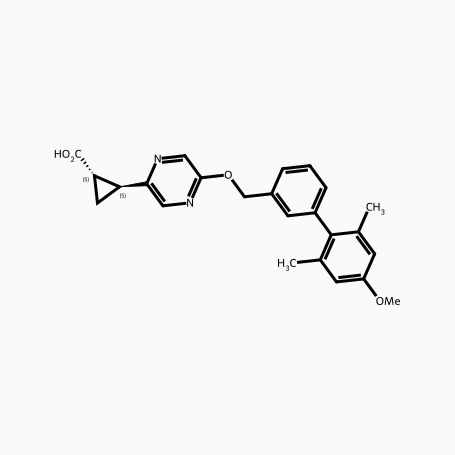 COc1cc(C)c(-c2cccc(COc3cnc([C@H]4C[C@@H]4C(=O)O)cn3)c2)c(C)c1